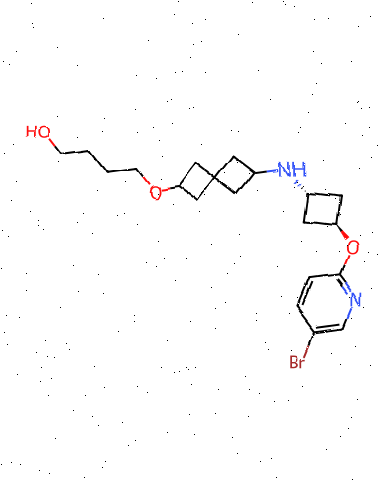 OCCCCOC1CC2(CC(N[C@H]3C[C@H](Oc4ccc(Br)cn4)C3)C2)C1